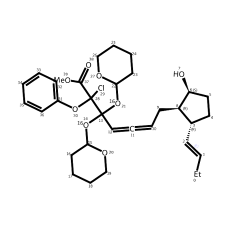 CC/C=C/[C@H]1CC[C@H](O)[C@@H]1CC=C=CC([16O]C1CCCCO1)([16O]C1CCCCO1)C(Cl)(Oc1ccccc1)C(=O)OC